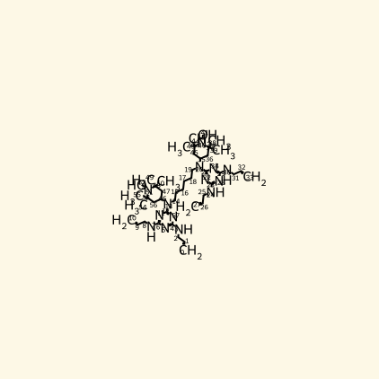 C=CCNc1nc(NCC=C)nc(N(CCCCCCN(c2nc(NCC=C)nc(NCC=C)n2)C2CC(C)(C)N(O)C(C)(C)C2)C2CC(C)(C)N(O)C(C)(C)C2)n1